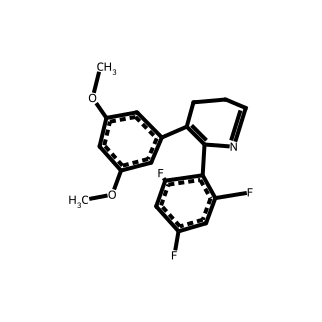 COc1cc(OC)cc(C2=C(c3c(F)cc(F)cc3F)N=CCC2)c1